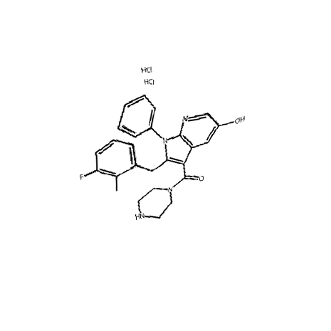 Cc1c(F)cccc1Cc1c(C(=O)N2CCNCC2)c2cc(O)cnc2n1-c1ccccc1.Cl.Cl